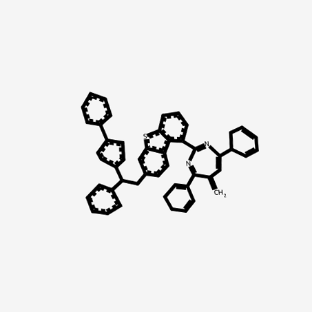 C=C1C=C(C2C=CC=CC2)N=C(c2cccc3sc4cc(CC(c5ccccc5)c5ccc(-c6ccccc6)cc5)ccc4c23)N=C1C1=CCCC=C1